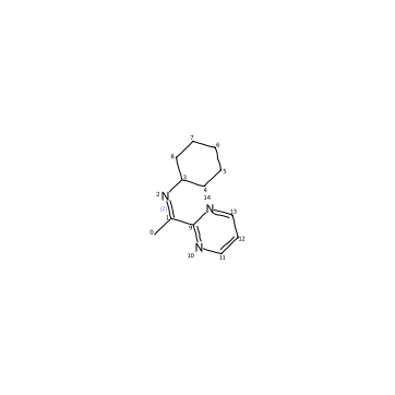 C/C(=N/C1CCCCC1)c1ncccn1